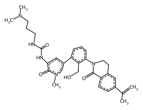 C=C(C)c1ccc2c(c1)CCN(c1cccc(-c3cc(NC(=O)NCCCN(C)C)c(=O)n(C)c3)c1CO)C2=O